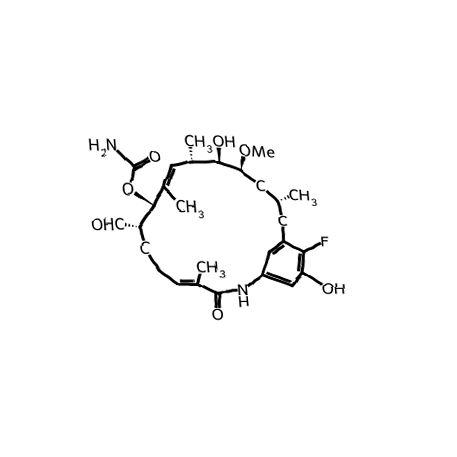 CO[C@H]1C[C@H](C)Cc2cc(cc(O)c2F)NC(=O)/C(C)=C/CC[C@H](C=O)[C@@H](OC(N)=O)/C(C)=C/[C@H](C)[C@H]1O